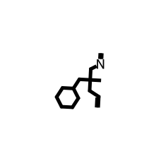 C=CCC(C)(CN=C)CC1CCCCC1